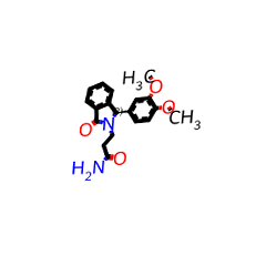 COc1ccc([C@@H]2c3ccccc3C(=O)N2CCC(N)=O)cc1OC